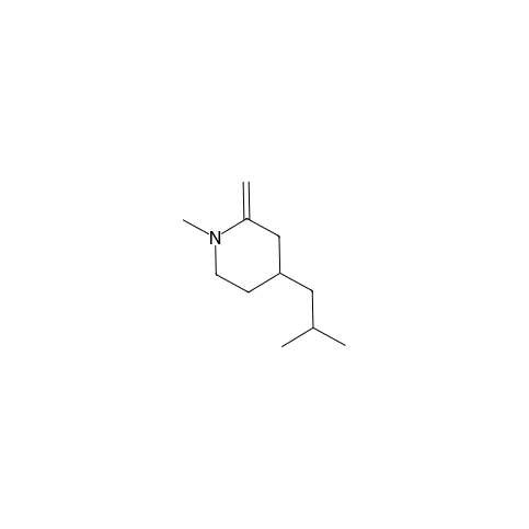 C=C1CC(CC(C)C)CCN1C